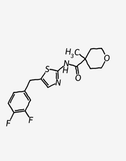 CC1(C(=O)Nc2ncc(Cc3ccc(F)c(F)c3)s2)CCOCC1